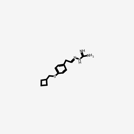 N=C(N)NN=CCc1ccc(SCC2CCC2)cc1